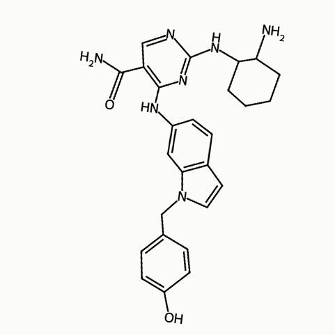 NC(=O)c1cnc(NC2CCCCC2N)nc1Nc1ccc2ccn(Cc3ccc(O)cc3)c2c1